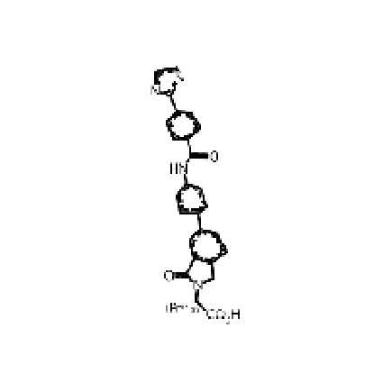 CC(C)[C@@H](C(=O)O)N1Cc2ccc(-c3ccc(NC(=O)c4ccc(-c5nccs5)cc4)cc3)cc2C1=O